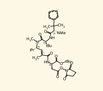 CN[C@H](C(=O)N[C@H](C(=O)N(C)[C@H](/C=C(\C)C(=O)N[C@H](CC(=O)ON1C(=O)CCC1=O)C(=O)OC(C)(C)C)C(C)C)C(C)(C)C)C(C)(C)c1ccccc1